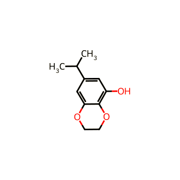 CC(C)c1cc(O)c2c(c1)OCCO2